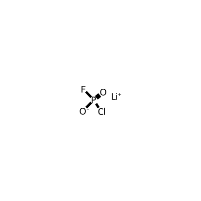 O=P([O-])(F)Cl.[Li+]